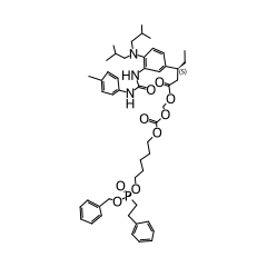 CC[C@@H](CC(=O)OCOC(=O)OCCCCCOP(=O)(CCc1ccccc1)OCc1ccccc1)c1ccc(N(CC(C)C)CC(C)C)c(NC(=O)Nc2ccc(C)cc2)c1